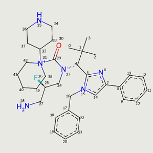 CC(C)(C)[C@H](c1nc(-c2ccccc2)cn1Cc1ccccc1)N(C[C@H](F)CN)C(=O)[N+]1(C2CCNCC2)CCCCC1